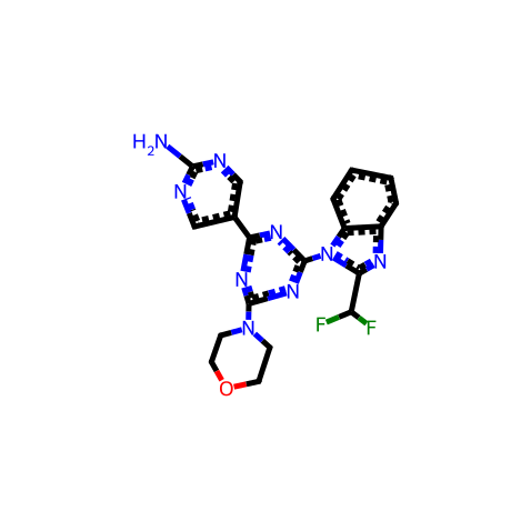 Nc1ncc(-c2nc(N3CCOCC3)nc(-n3c(C(F)F)nc4ccccc43)n2)cn1